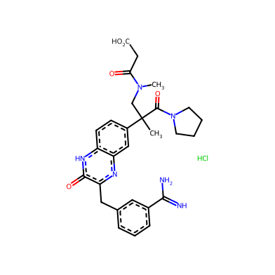 CN(CC(C)(C(=O)N1CCCC1)c1ccc2[nH]c(=O)c(Cc3cccc(C(=N)N)c3)nc2c1)C(=O)CC(=O)O.Cl